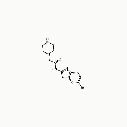 O=C(CN1CCNCC1)Nc1cn2cc(Br)ccc2n1